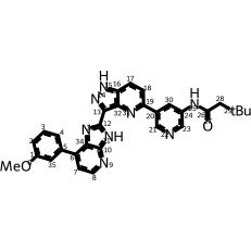 COc1cccc(-c2ccnc3[nH]c(-c4n[nH]c5ccc(-c6cncc(NC(=O)CC(C)(C)C)c6)nc45)nc23)c1